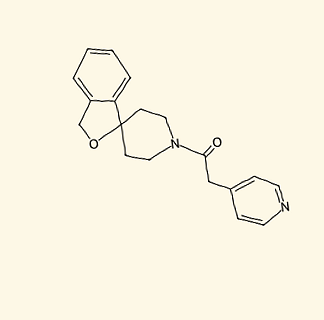 O=C(Cc1ccncc1)N1CCC2(CC1)OCc1ccccc12